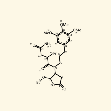 CCOC1OC(=O)CC1N(CCCc1cc(OC)c(OC)c(OC)c1)C(=O)C(CC(N)=O)C(C)C